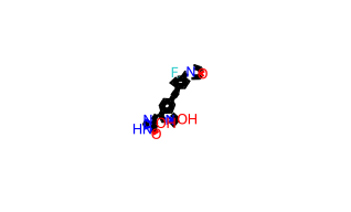 O=c1[nH]cnc(C[C@H](CN2CC(O)C2)c2ccc(C#Cc3ccc(CN4CCOCC4)c(F)c3)cc2)c1O